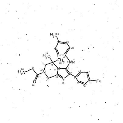 Cc1ccc(Nc2c(-c3ccc(F)cc3)nc3n2C(C)(C)CN(C(=O)CN)C3)cc1